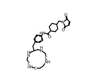 O=C(Nc1ccc(CC2CNCCNCCCNCCNC2)cc1)C1CCC(CN2C(=O)C=CC2=O)CC1